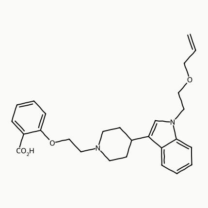 C=CCOCCn1cc(C2CCN(CCOc3ccccc3C(=O)O)CC2)c2ccccc21